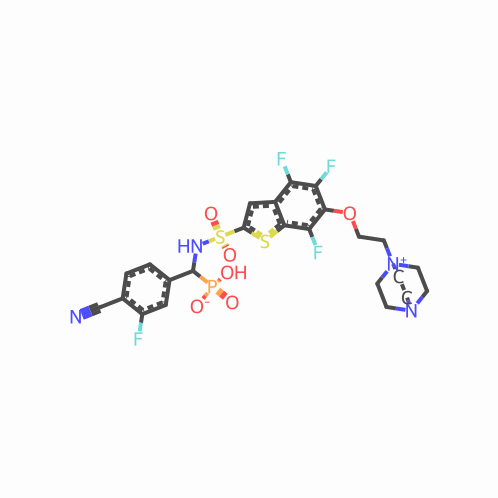 N#Cc1ccc(C(NS(=O)(=O)c2cc3c(F)c(F)c(OCC[N+]45CCN(CC4)CC5)c(F)c3s2)P(=O)([O-])O)cc1F